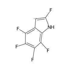 Fc1[c]c2c(F)c(F)c(F)c(F)c2[nH]1